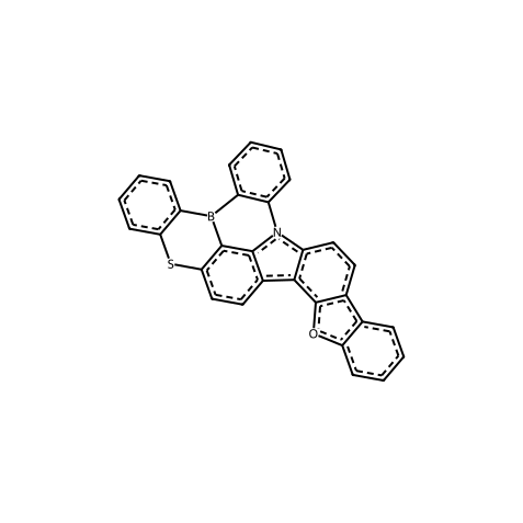 c1ccc2c(c1)Sc1ccc3c4c5oc6ccccc6c5ccc4n4c3c1B2c1ccccc1-4